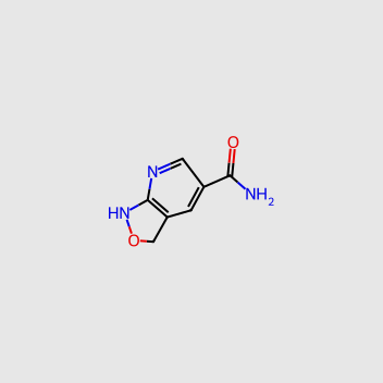 NC(=O)c1cnc2c(c1)CON2